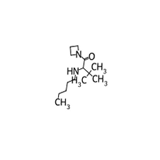 CCCCCNC(C(=O)N1CCC1)C(C)(C)C